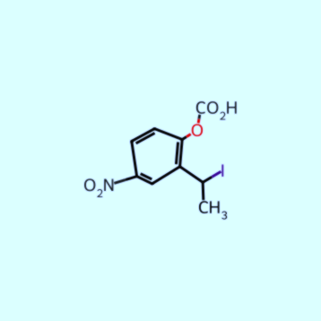 CC(I)c1cc([N+](=O)[O-])ccc1OC(=O)O